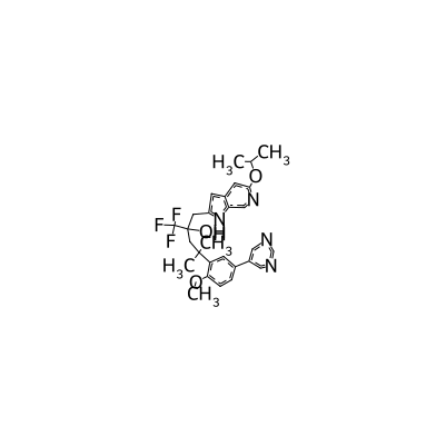 COc1ccc(-c2cncnc2)cc1C(C)(C)CC(O)(Cc1cc2cc(OC(C)C)ncc2[nH]1)C(F)(F)F